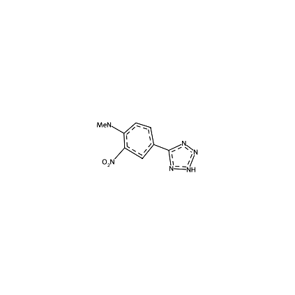 CNc1ccc(-c2nn[nH]n2)cc1[N+](=O)[O-]